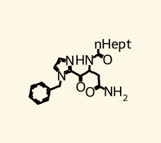 CCCCCCCC(=O)NC(CC(N)=O)C(=O)c1nccn1Cc1ccccc1